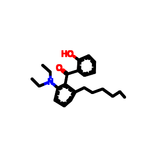 CCCCCCc1cccc(N(CC)CC)c1C(=O)c1ccccc1O